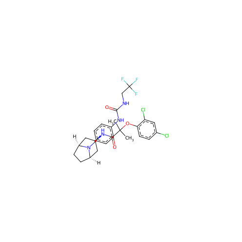 CC(C)(Oc1ccc(Cl)cc1Cl)C(=O)N[C@H]1C[C@H]2CC[C@@H](C1)N2c1ccc(NC(=O)NCC(F)(F)F)cc1